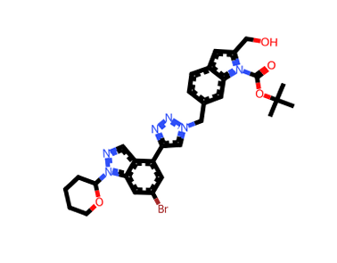 CC(C)(C)OC(=O)n1c(CO)cc2ccc(Cn3cc(-c4cc(Br)cc5c4cnn5C4CCCCO4)nn3)cc21